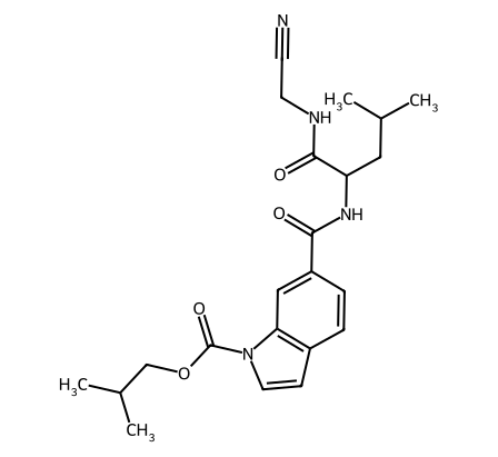 CC(C)COC(=O)n1ccc2ccc(C(=O)NC(CC(C)C)C(=O)NCC#N)cc21